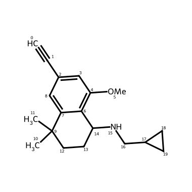 C#Cc1cc(OC)c2c(c1)C(C)(C)CCC2NCC1CC1